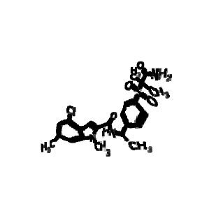 Cc1cc(Cl)c2cc(C(=O)N[C@H](C)c3ccc(S(=O)(=O)C(C)(C)C(N)=O)cc3)n(C)c2c1